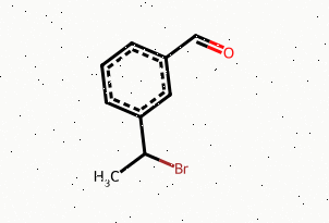 CC(Br)c1cccc(C=O)c1